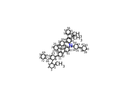 Cc1ccccc1-c1cc(-c2ccc3c(c2)C(c2ccccc2)(c2ccccc2)c2cc(N(c4ccc(-c5ccccc5)cc4)c4ccc5c(c4)C(C)(C)c4ccccc4-5)ccc2-3)ccc1Cc1ccccc1